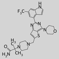 CC(C)(C(N)=O)N1CCN(Cc2cc3nc(-c4cc(C(F)(F)F)cc5[nH]ccc45)nc(N4CCOCC4)c3s2)CC1